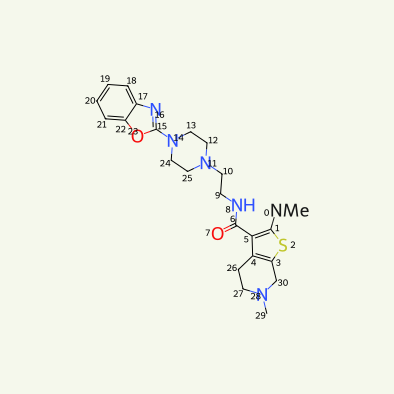 CNc1sc2c(c1C(=O)NCCN1CCN(c3nc4ccccc4o3)CC1)CCN(C)C2